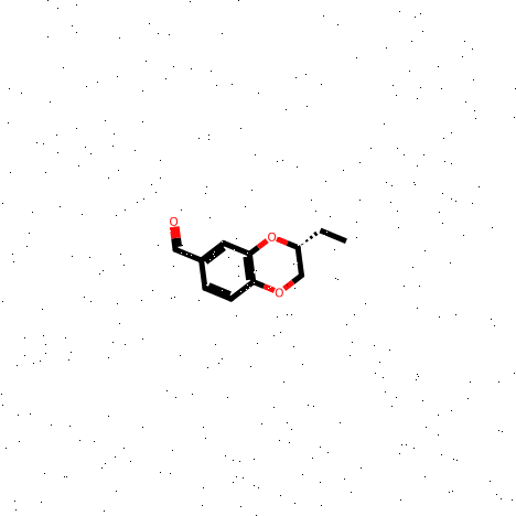 CC[C@@H]1COc2ccc(C=O)cc2O1